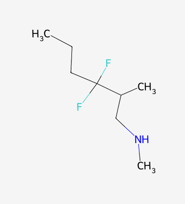 CCCC(F)(F)C(C)CNC